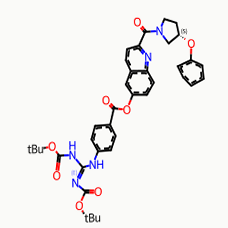 CC(C)(C)OC(=O)/N=C(/NC(=O)OC(C)(C)C)Nc1ccc(C(=O)Oc2ccc3nc(C(=O)N4CC[C@H](Oc5ccccc5)C4)ccc3c2)cc1